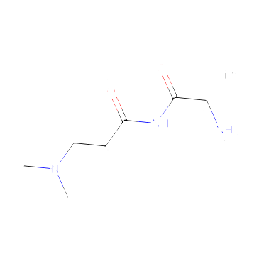 CC(C)[C@H](N)C(=O)NC(=O)CCN(C)C